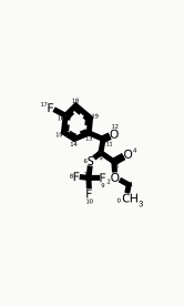 CCOC(=O)C(SC(F)(F)F)C(=O)c1ccc(F)cc1